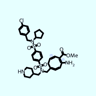 COC(=O)C1=C(\N)C=C=C(CN(CC2CCNCC2)S(=O)(=O)c2ccc(S(=O)(=O)N(Cc3ccc(Cl)cc3)C3CCCC3)cc2)C/C=C\1